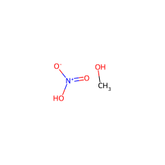 CO.O=[N+]([O-])O